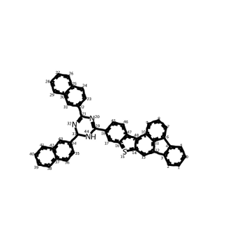 c1ccc2c(c1)-c1cccc3c1c-2cc1sc2cc(C4=NC(c5ccc6ccccc6c5)=NC(c5ccc6ccccc6c5)N4)ccc2c13